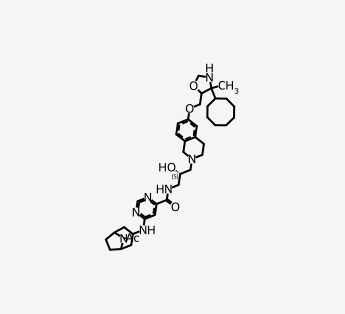 CC(=O)N1C2CCC1CC(Nc1cc(C(=O)NC[C@H](O)CN3CCc4cc(OCC5OCNC5(C)C5CCCCCCC5)ccc4C3)ncn1)C2